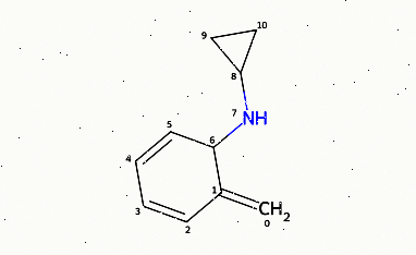 C=C1C=CC=CC1NC1CC1